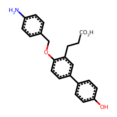 Nc1ccc(COc2ccc(-c3ccc(O)cc3)cc2CCC(=O)O)cc1